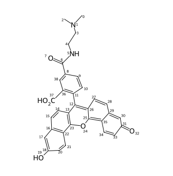 CN(C)CCNC(=O)c1ccc(-c2c3ccc4cc(O)ccc4c3oc3c2ccc2cc(=O)ccc23)c(C(=O)O)c1